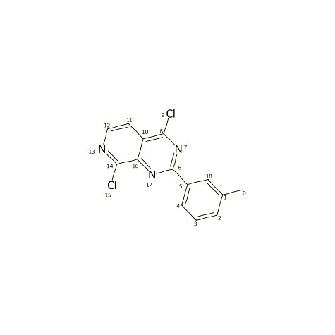 Cc1cccc(-c2nc(Cl)c3ccnc(Cl)c3n2)c1